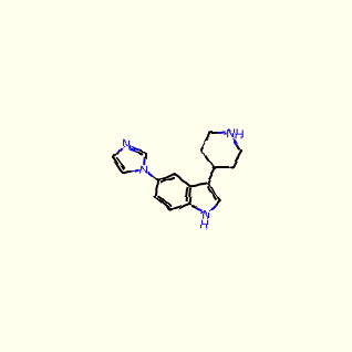 c1cn(-c2ccc3[nH]cc(C4CCNCC4)c3c2)cn1